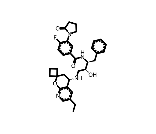 CCc1cnc2c(c1)[C@@H](NC[C@@H](O)[C@H](Cc1ccccc1)NC(=O)c1ccc(F)c(N3CCCC3=O)c1)CC1(CCC1)O2